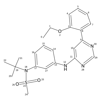 CCOc1ccccc1-c1cc(Nc2cccc(N(C(C)(C)C)S(C)(=O)=O)c2)ncn1